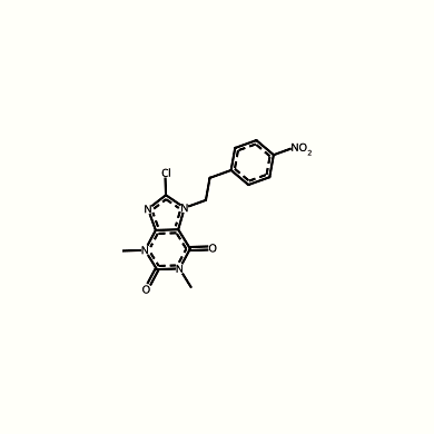 Cn1c(=O)c2c(nc(Cl)n2CCc2ccc([N+](=O)[O-])cc2)n(C)c1=O